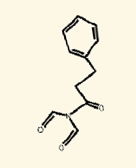 O=CN(C=O)C(=O)CCc1ccccc1